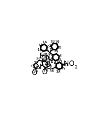 CC(NC(c1ccccc1)(c1ccccc1)c1ccccc1)[S+]([O-])C1(Cl)CC2CC(=O)N2C1C(=O)OCc1ccc([N+](=O)[O-])cc1